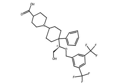 O=C(O)C1CCN(C2CCC(c3ccccc3)([C@H](CO)OCc3cc(C(F)(F)F)cc(C(F)(F)F)c3)CC2)CC1